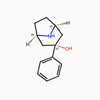 O[C@]1(c2ccccc2)C[C@H]2CC[C@@H](C1)N2